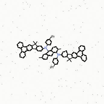 Cc1ccc2cc3c(N(c4ccc(C(C)C)cc4)c4ccc5c(c4)C(C)(C)c4cc6c7ccccc7c7ccccc7c6cc4-5)c(C)ccc3c(N(c3ccc(C(C)C)cc3)c3ccc4c(c3)C(C)(C)c3cc5c6ccccc6c6ccccc6c5cc3-4)c2c1